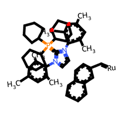 Cc1cc(C)c(-n2ccn(-c3c(C)cc(C)cc3C)c2=P(C2CCCCC2)(C2CCCCC2)C2CCCCC2)c(C)c1.[Ru]=[CH]c1ccc2ccccc2c1